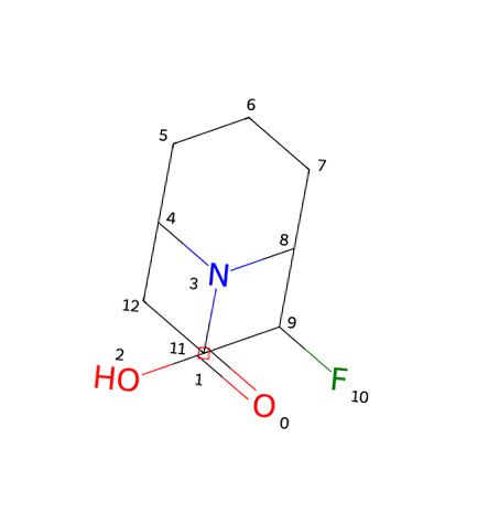 O=C(O)N1C2CCCC1C(F)CC2